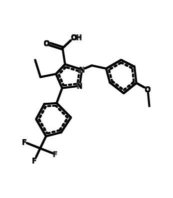 CCc1c(-c2ccc(C(F)(F)F)cc2)nn(Cc2ccc(OC)cc2)c1C(=O)O